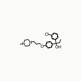 CCC(O)(c1ccc(OCCCN2CCN(C)CC2)cc1)c1cccc(Cl)c1